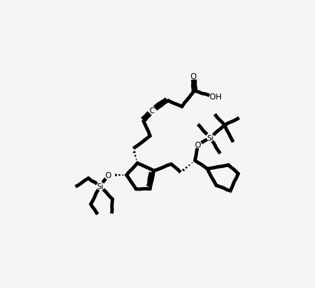 CC[Si](CC)(CC)O[C@H]1CC=C(CC[C@H](O[Si](C)(C)C(C)(C)C)C2CCCC2)[C@H]1CCC=C=CCC(=O)O